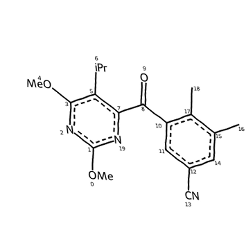 COc1nc(OC)c(C(C)C)c(C(=O)c2cc(C#N)cc(C)c2C)n1